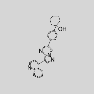 OC1(c2ccc(-c3cnc4c(-c5ccnc6ccccc56)cnn4c3)cc2)CCCCC1